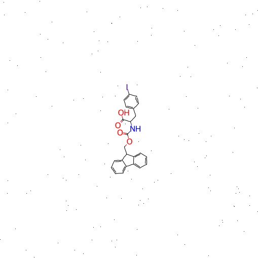 O=C(NC(Cc1ccc(I)cc1)C(=O)O)OCC1c2ccccc2-c2ccccc21